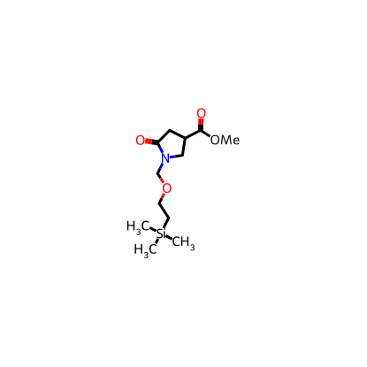 COC(=O)C1CC(=O)N(COCC[Si](C)(C)C)C1